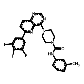 Cc1cccc(NC(=O)N2CCN(c3ncnc4ccc(-c5cc(F)c(F)c(F)c5)nc34)CC2)c1